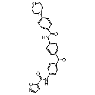 O=C(Nc1ccc(C(=O)c2ccc(NC(=O)c3ccno3)cc2)cc1)c1ccc(N2CCOCC2)cc1